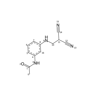 CC(=O)Nc1cccc(NCC(C#N)C#N)c1